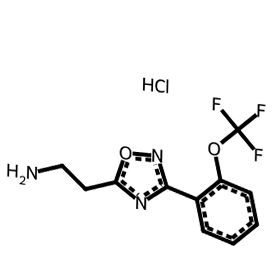 Cl.NCCc1nc(-c2ccccc2OC(F)(F)F)no1